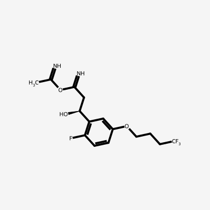 CC(=N)OC(=N)C[C@H](O)c1cc(OCCCC(F)(F)F)ccc1F